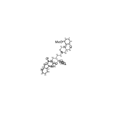 COc1cccc2c1N1CCN(CCCCn3c(=O)[nH]c4c(sc5ncccc54)c3=O)CC1CO2.Cl.Cl.Cl